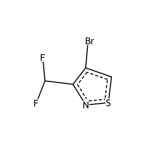 FC(F)c1nscc1Br